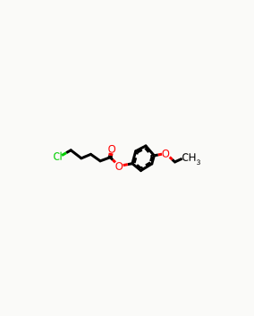 CCOc1ccc(OC(=O)CCCCCl)cc1